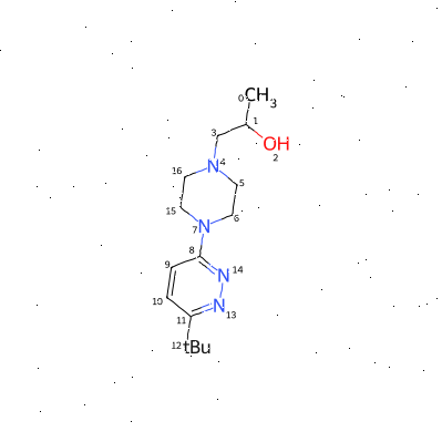 CC(O)CN1CCN(c2ccc(C(C)(C)C)nn2)CC1